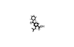 CC(C)Cc1cc(C(=O)N2CCCCC2)nnc1C(=O)O